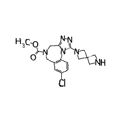 COC(=O)N1Cc2cc(Cl)ccc2-n2c(nnc2N2CC3(CNC3)C2)C1